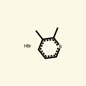 Br.Cc1bcccc1C